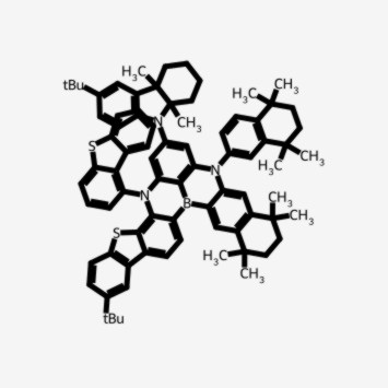 CC(C)(C)c1ccc2c(c1)C1(C)CCCCC1(C)N2c1cc2c3c(c1)N(c1cccc4sc5ccccc5c14)c1c(ccc4c1sc1ccc(C(C)(C)C)cc14)B3c1cc3c(cc1N2c1ccc2c(c1)C(C)(C)CCC2(C)C)C(C)(C)CCC3(C)C